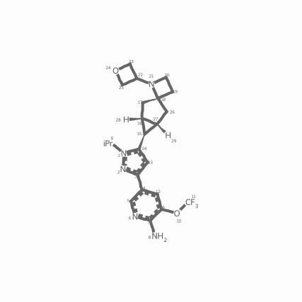 CC(C)n1nc(-c2cnc(N)c(OC(F)(F)F)c2)cc1[C@H]1[C@@H]2C[C@@]3(CCN3C3COC3)C[C@@H]21